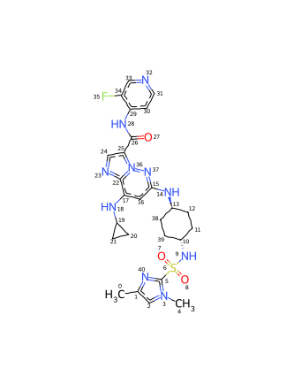 Cc1cn(C)c(S(=O)(=O)N[C@H]2CC[C@H](Nc3cc(NC4CC4)c4ncc(C(=O)Nc5ccncc5F)n4n3)CC2)n1